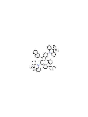 CC1(C)C2=C(C=CCC2)N(c2ccc3c(-c4cccc5c4-c4ccccc4C5(C)C)c4c(c(-c5ccc6ccccc6c5)c3c2)=CCC(N2c3ccccc3C(C)(C)c3ccccc32)C=4)c2ccccc21